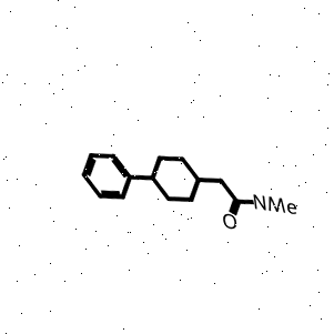 CNC(=O)CC1CCC(c2ccccc2)CC1